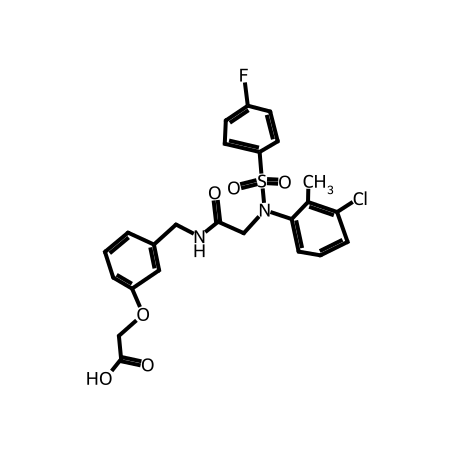 Cc1c(Cl)cccc1N(CC(=O)NCc1cccc(OCC(=O)O)c1)S(=O)(=O)c1ccc(F)cc1